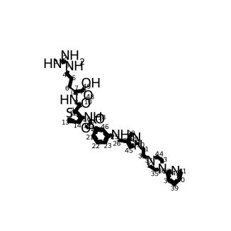 N=C(N)NCCC[C@H](NC(=O)c1sccc1NS(=O)(=O)c1cccc(NCc2cnn(CCN3CCN(c4ccccn4)CC3)c2)c1)C(=O)O